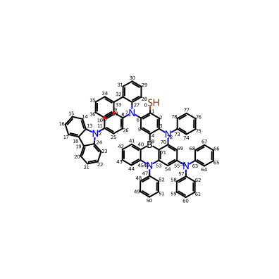 Sc1cc2c(cc1N(c1ccc(-n3c4ccccc4c4ccccc43)cc1)c1ccccc1-c1ccccc1)B1c3ccccc3N(c3ccccc3)c3cc(N(c4ccccc4)c4ccccc4)cc(c31)N2c1ccccc1